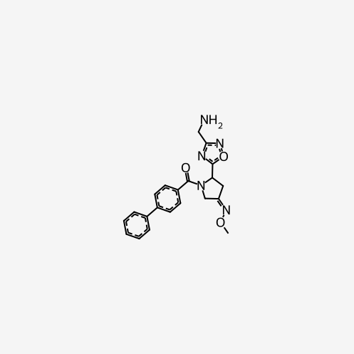 CON=C1CC(c2nc(CN)no2)N(C(=O)c2ccc(-c3ccccc3)cc2)C1